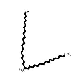 C=C(CCCCCCCCCCCCCCCC)CCCCCCCCCCCCCCCCCCCC